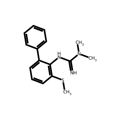 CSc1cccc(-c2ccccc2)c1NC(=N)N(C)C